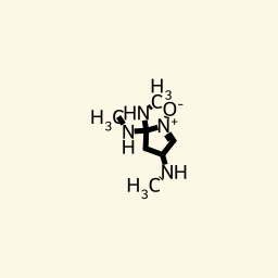 CNC1C=[N+]([O-])C(NC)(NC)C1